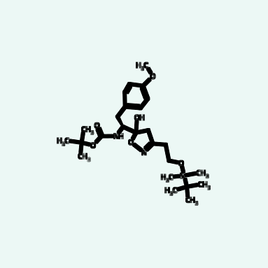 COc1ccc(C[C@H](NC(=O)OC(C)(C)C)C2(O)CC(CCO[Si](C)(C)C(C)(C)C)=NO2)cc1